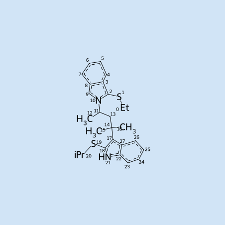 CCSc1c2ccccc2cn1C(C)CC(C)(C)c1c(SC(C)C)[nH]c2ccccc12